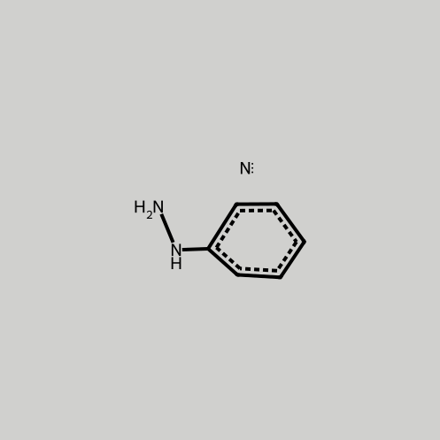 NNc1ccccc1.[N]